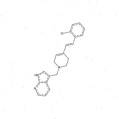 Clc1ccccc1/C=C/C1=CCN(Cc2c[nH]c3ncccc23)CC1